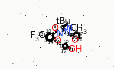 Cn1c(C(C)(C)C)cc(=NC(=O)c2cc(C(F)(F)F)ccc2OC[C@H]2C[C@@H](O)C2)n1C[C@H]1CCCO1